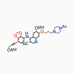 COCC#Cc1ccc(Nc2c(C#N)cnc3cc(OCCCN4CCN(C(C)=O)CC4)c(OC)cc23)c2c1OCO2